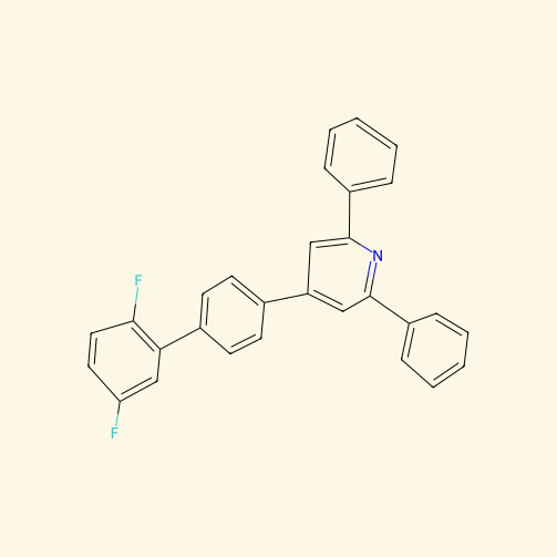 Fc1ccc(F)c(-c2ccc(-c3cc(-c4ccccc4)nc(-c4ccccc4)c3)cc2)c1